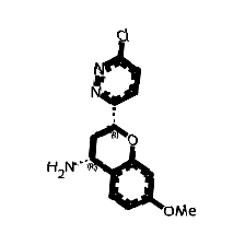 COc1ccc2c(c1)O[C@@H](c1ccc(Cl)nn1)C[C@H]2N